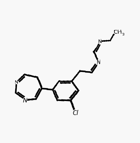 CC/N=C\N=C/Cc1cc(Cl)cc(C2=CN=CN=CC2)c1